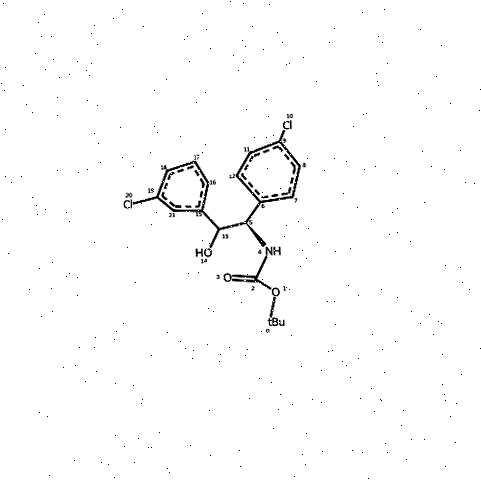 CC(C)(C)OC(=O)N[C@H](c1ccc(Cl)cc1)C(O)c1cccc(Cl)c1